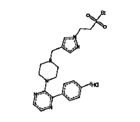 CCS(=O)(=O)CCn1cc(CN2CCN(c3nccnc3-c3ccc(F)cc3)CC2)cn1.Cl